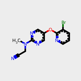 CN(CC#N)c1ncc(Oc2ncccc2Br)cn1